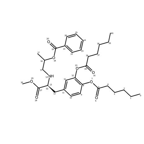 CCCCCC(=O)Oc1ccc(C[C@H](NCC(C)OC(=O)c2ccccc2)C(=O)OC)cc1OC(=O)CCCCC